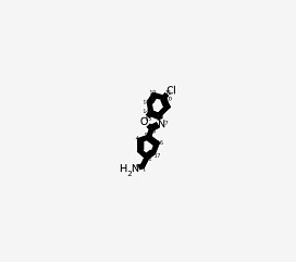 NCc1ccc(-c2nc3cc(Cl)ccc3o2)cc1